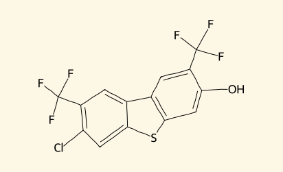 Oc1cc2sc3cc(Cl)c(C(F)(F)F)cc3c2cc1C(F)(F)F